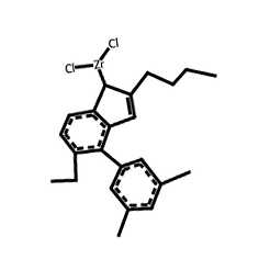 CCCCC1=Cc2c(ccc(CC)c2-c2cc(C)cc(C)c2)[CH]1[Zr]([Cl])[Cl]